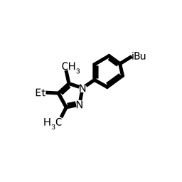 CCc1c(C)nn(-c2ccc(C(C)CC)cc2)c1C